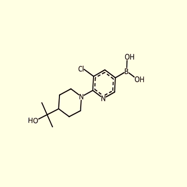 CC(C)(O)C1CCN(c2ncc(B(O)O)cc2Cl)CC1